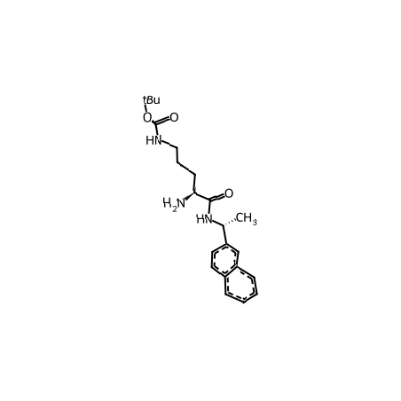 C[C@@H](NC(=O)[C@@H](N)CCCNC(=O)OC(C)(C)C)c1ccc2ccccc2c1